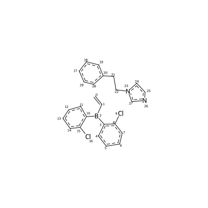 C=CB(c1ccccc1Cl)c1ccccc1Cl.c1ccc(CCn2ccnc2)cc1